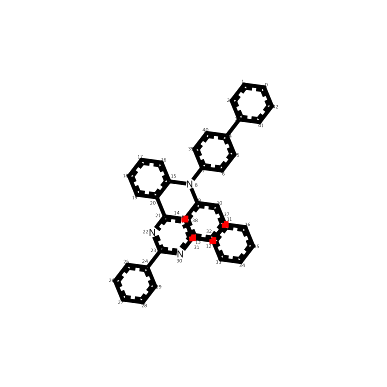 c1ccc(-c2ccc(N(c3ccccc3)c3ccccc3-c3nc(-c4ccccc4)nc(-c4ccccc4)n3)cc2)cc1